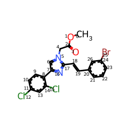 COC(=O)Cn1cc(-c2ccc(Cl)cc2Cl)nc1C=Cc1cccc(Br)c1